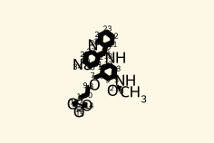 CC(=O)Nc1cc(COCCCS(=O)(=O)[O-])cc(Nc2c3ccccc3nc3ccccc23)c1.[Na+]